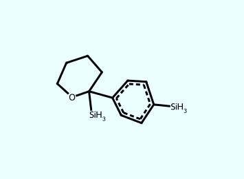 [SiH3]c1ccc(C2([SiH3])CCCCO2)cc1